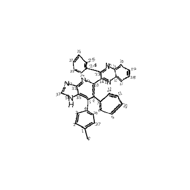 Cc1ccc(-c2c(-c3ccccc3)c(-c3nc4ccccc4nc3-c3ccccc3)nc3nc[nH]c23)cc1